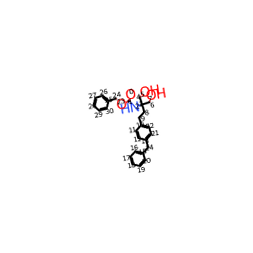 O=C(NC(CO)(CO)CCc1ccc(Cc2ccccc2)cc1)OCc1ccccc1